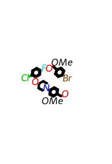 COC(=O)c1ccc(Br)cc1.COC(=O)c1ccc(N2CCC(Oc3cc(F)ccc3Cl)CC2)cc1